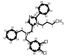 CCCCn1c(CN(Cc2ccccc2)Cc2ccc(Cl)c(Cl)c2)cnc1-c1ccccc1